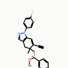 C#CC1=Cc2c(cnn2-c2ccc(F)cc2)CC1(C)C[C@@H](OCC)c1ccccc1